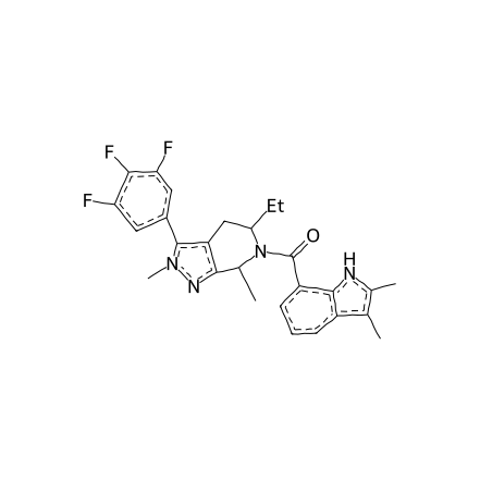 CCC1Cc2c(nn(C)c2-c2cc(F)c(F)c(F)c2)C(C)N1C(=O)c1cccc2c(C)c(C)[nH]c12